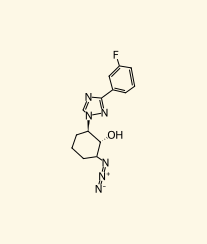 [N-]=[N+]=NC1CCC[C@@H](n2cnc(-c3cccc(F)c3)n2)[C@@H]1O